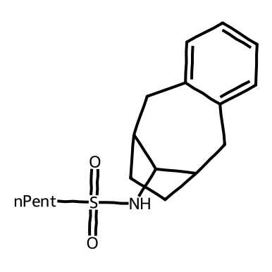 CCCCCS(=O)(=O)NC1C2CCC1Cc1ccccc1C2